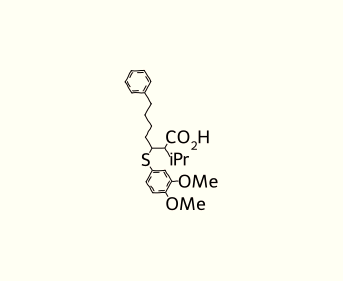 COc1ccc(SC(CCCCc2ccccc2)C(C(=O)O)C(C)C)cc1OC